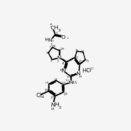 CC(=O)N[C@H]1CCN(c2nc(Nc3ccc(Cl)c(N)c3)nc3c2CCC3)C1.Cl